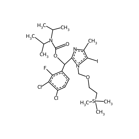 Cc1nc(C(OC(=O)N(C(C)C)C(C)C)c2ccc(Cl)c(Cl)c2F)n(COCC[Si](C)(C)C)c1I